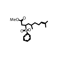 COC(=O)CC(CC(C)CCC=C(C)C)S(=O)(=O)c1ccccc1